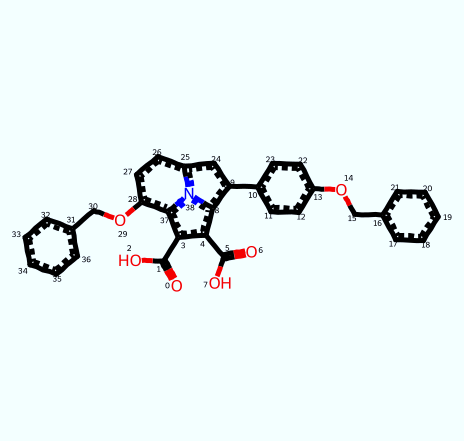 O=C(O)c1c(C(=O)O)c2c(-c3ccc(OCc4ccccc4)cc3)cc3ccc(OCc4ccccc4)c1n32